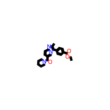 CCOC(=O)c1ccc(-c2c(C)nc3ccc(C(=O)N4CCCCC4)cn23)cc1